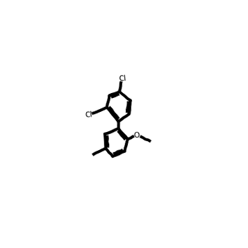 COc1ccc(C)cc1-c1ccc(Cl)cc1Cl